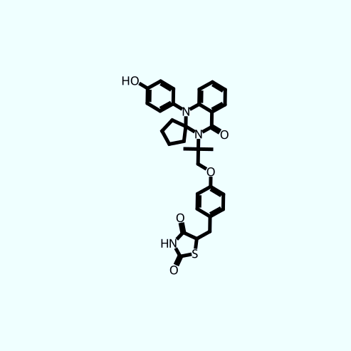 CC(C)(COc1ccc(CC2SC(=O)NC2=O)cc1)N1C(=O)c2ccccc2N(c2ccc(O)cc2)C12CCCC2